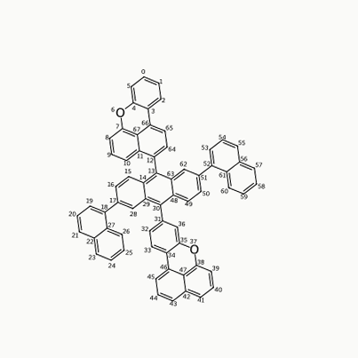 c1ccc2c(c1)Oc1cccc3c(-c4c5ccc(-c6cccc7ccccc67)cc5c(-c5ccc6c(c5)Oc5cccc7cccc-6c57)c5ccc(-c6cccc7ccccc67)cc45)ccc-2c13